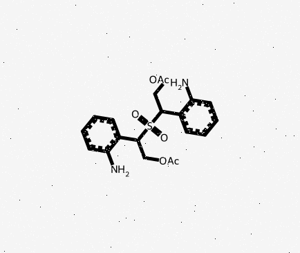 CC(=O)OCC(c1ccccc1N)S(=O)(=O)C(COC(C)=O)c1ccccc1N